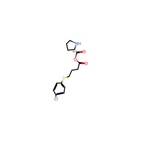 O=C(CCCSc1ccc(Cl)cc1)OC(=O)[C@@H]1CCCN1